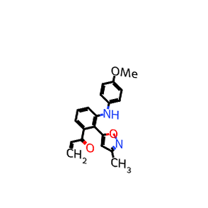 C=CC(=O)c1cccc(Nc2ccc(OC)cc2)c1-c1cc(C)no1